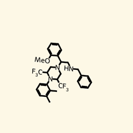 COc1ccccc1C(CNCc1ccccc1)N1CC(C(F)(F)F)N(c2cccc(C)c2C)C(C(F)(F)F)C1